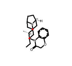 CCCCC1CC2CC[C@@H](C1)N2C[C@@H](C)CN1C(=O)COc2ccccc21